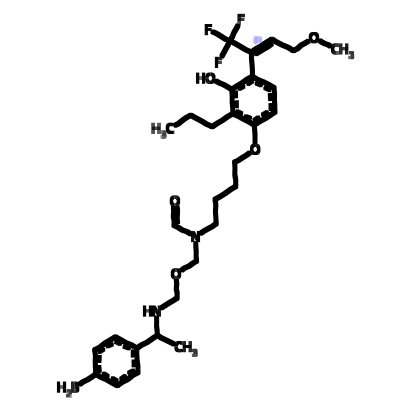 Bc1ccc(C(C)NCOCN(C=O)CCCCOc2ccc(/C(=C\COC)C(F)(F)F)c(O)c2CCC)cc1